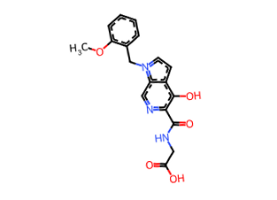 COc1ccccc1Cn1ccc2c(O)c(C(=O)NCC(=O)O)ncc21